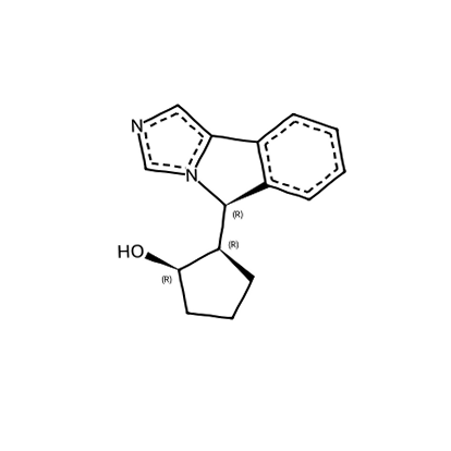 O[C@@H]1CCC[C@@H]1[C@@H]1c2ccccc2-c2cncn21